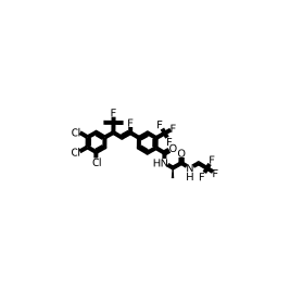 C[C@@H](NC(=O)c1ccc(/C(F)=C/C(c2cc(Cl)c(Cl)c(Cl)c2)C(C)(C)F)cc1C(F)(F)F)C(=O)NCC(F)(F)F